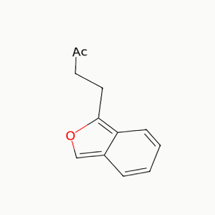 CC(=O)CCc1occ2ccccc12